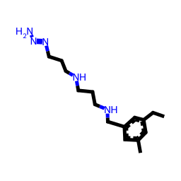 CCc1cc(C)cc(CNCCCNCCCN=NN)c1